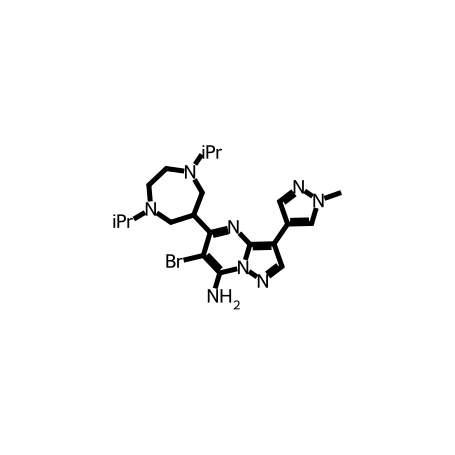 CC(C)N1CCN(C(C)C)CC(c2nc3c(-c4cnn(C)c4)cnn3c(N)c2Br)C1